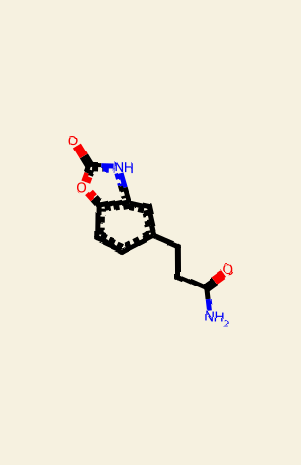 NC(=O)CCc1ccc2oc(=O)[nH]c2c1